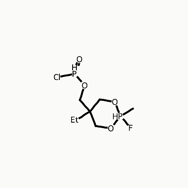 CCC1(CO[PH](=O)Cl)CO[PH](C)(F)OC1